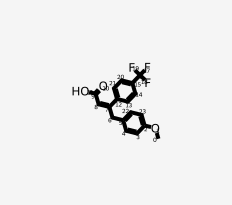 COc1ccc(CC(=CC(=O)O)c2ccc(C(F)(F)F)cc2)cc1